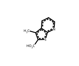 Cc1c(C(=O)O)sc2ncccc12